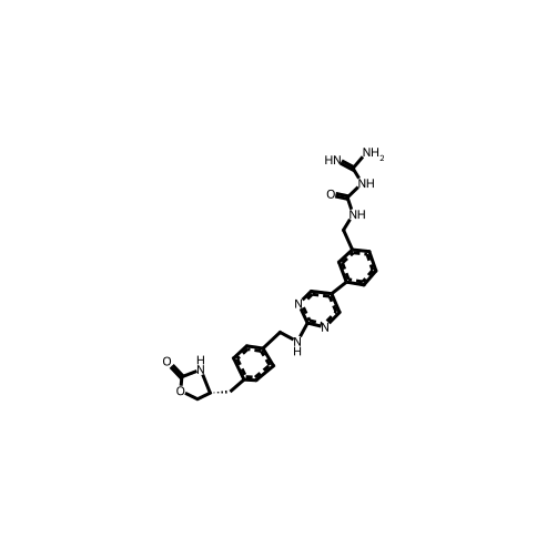 N=C(N)NC(=O)NCc1cccc(-c2cnc(NCc3ccc(C[C@@H]4COC(=O)N4)cc3)nc2)c1